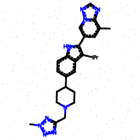 Cc1cc(-c2[nH]c3ccc(C4CCN(Cc5nnn(C)n5)CC4)cc3c2C(C)C)cn2ncnc12